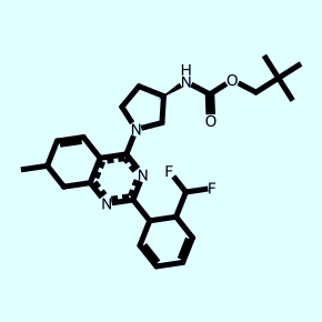 CC1C=Cc2c(nc(C3C=CC=CC3C(F)F)nc2N2CC[C@@H](NC(=O)OCC(C)(C)C)C2)C1